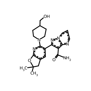 CC1(C)Cc2cc(-c3nn4cccnc4c3C(N)=O)c(N3CCC(CO)CC3)nc2O1